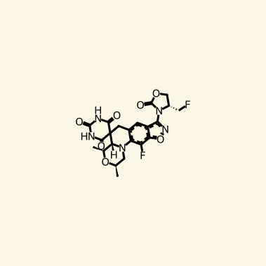 C[C@@H]1CN2c3c(cc4c(N5C(=O)OC[C@@H]5CF)noc4c3F)CC3(C(=O)NC(=O)NC3=O)[C@H]2[C@H](C)O1